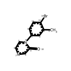 Cc1cc(-n2ccncc2=O)ccc1Br